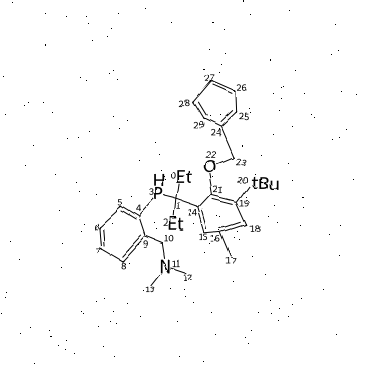 CCC(CC)(Pc1ccccc1CN(C)C)c1cc(C)cc(C(C)(C)C)c1OCc1ccccc1